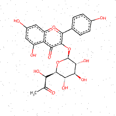 CC(=O)C(O)[C@H]1O[C@@H](Oc2c(-c3ccc(O)cc3)oc3cc(O)cc(O)c3c2=O)[C@H](O)[C@@H](O)[C@@H]1O